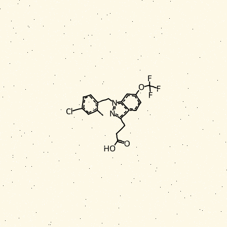 Cc1cc(Cl)ccc1Cn1nc(CCC(=O)O)c2ccc(OC(F)(F)F)cc21